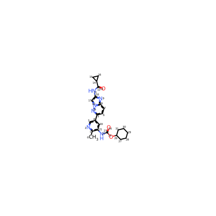 Cc1ncc(-c2ccc3nc(NC(=O)C4CC4)cn3n2)cc1NC(=O)OC1CCCCC1